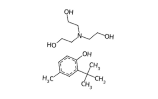 Cc1ccc(O)c(C(C)(C)C)c1.OCCN(CCO)CCO